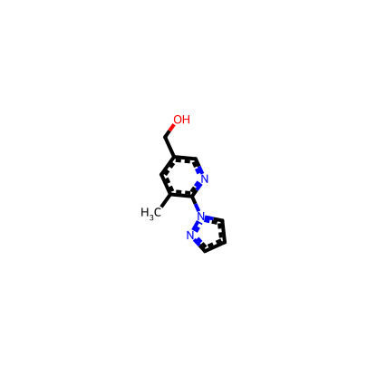 Cc1cc(CO)cnc1-n1cccn1